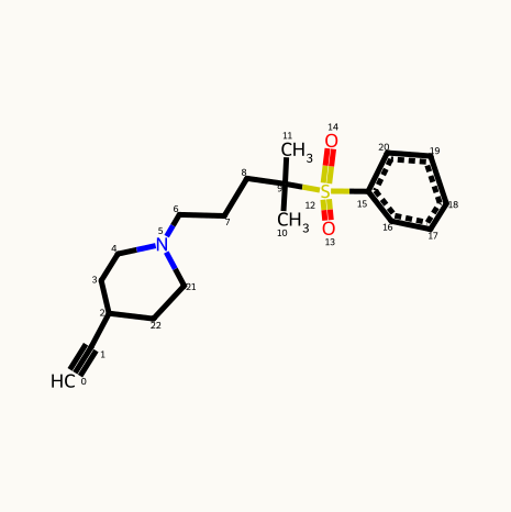 C#CC1CCN(CCCC(C)(C)S(=O)(=O)c2ccccc2)CC1